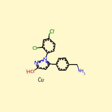 NCc1ccc(-c2cc(O)nn2-c2ccc(Cl)cc2Cl)cc1.[Cu]